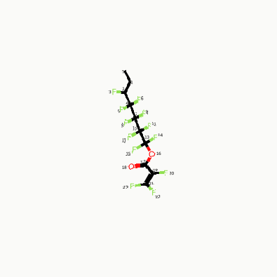 CCC(F)C(F)(F)C(F)(F)C(F)(F)C(F)(F)OC(=O)C(F)=C(F)F